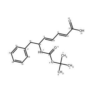 CC(C)(C)OC(=O)NC(/C=C/C=C/C(=O)O)Cc1ccccc1